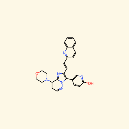 Oc1ccc(-c2c(/C=C/c3ccc4ccccc4n3)nc3c(N4CCOCC4)ccnn23)cn1